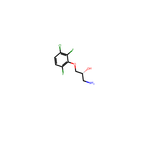 NC[C@@H](O)COc1c(F)ccc(Cl)c1F